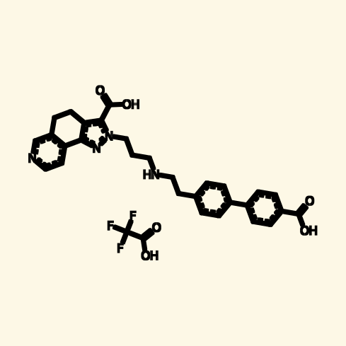 O=C(O)C(F)(F)F.O=C(O)c1ccc(-c2ccc(CCNCCCn3nc4c(c3C(=O)O)CCc3cnccc3-4)cc2)cc1